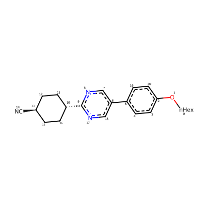 CCCCCCOc1ccc(-c2cnc([C@H]3CC[C@H](C#N)CC3)nc2)cc1